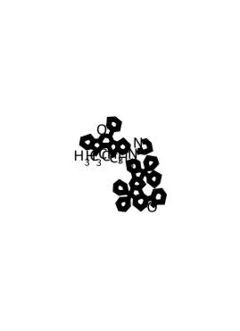 CC1(C)C2=C3C(c4ccc(N(c5ccc6c(c5)C(c5ccccc5)(c5ccccc5)c5cc7c(cc5-6)C(c5ccccc5)(c5ccccc5)c5ccc6oc8ccccc8c6c5-7)c5ccccn5)cc4C3(C)C)C3C(=C2c2ccccc21)Oc1ccccc13